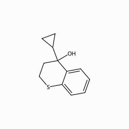 OC1(C2CC2)CCSc2ccccc21